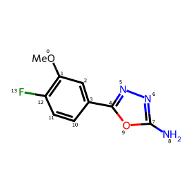 COc1cc(-c2nnc(N)o2)ccc1F